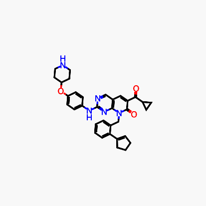 O=C(c1cc2cnc(Nc3ccc(OC4CCNCC4)cc3)nc2n(Cc2ccccc2C2=CCCC2)c1=O)C1CC1